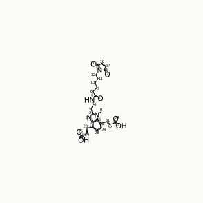 Cn1c(CCNC(=O)CCCCCN2C(=O)C=CC2=O)nc2c(C=CC(=O)O)ccc(C=CC(=O)O)c21